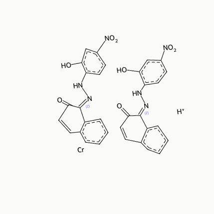 O=C1C=Cc2ccccc2/C1=N/Nc1ccc([N+](=O)[O-])cc1O.O=C1C=Cc2ccccc2/C1=N/Nc1ccc([N+](=O)[O-])cc1O.[Cr].[H+]